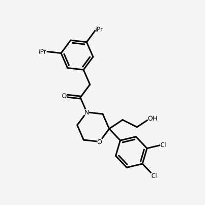 CC(C)c1cc(CC(=O)N2CCOC(CCO)(c3ccc(Cl)c(Cl)c3)C2)cc(C(C)C)c1